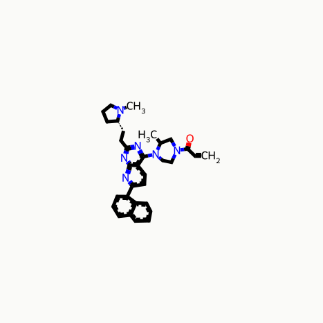 C=CC(=O)N1CCN(c2nc(CC[C@@H]3CCCN3C)nc3nc(-c4cccc5ccccc45)ccc23)C(C)C1